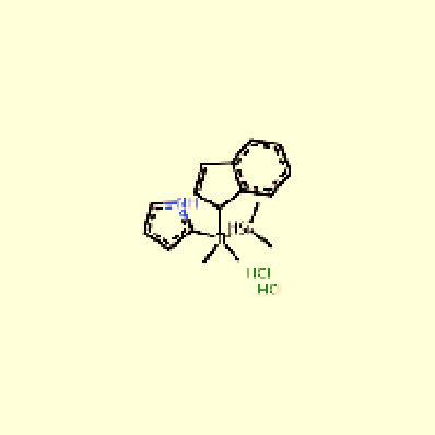 C[SiH](C)[Ti]([CH3])([CH3])([c]1ccc[nH]1)[CH]1C=Cc2ccccc21.Cl.Cl